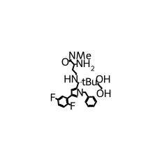 CNC(=O)[C@@H](N)CCN[C@@H](c1cc(-c2cc(F)ccc2F)cn1Cc1ccccc1)C(C)(C)C.OCCO